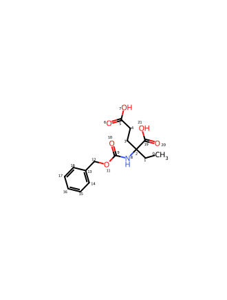 CCC(CCC(=O)O)(NC(=O)OCc1ccccc1)C(=O)O